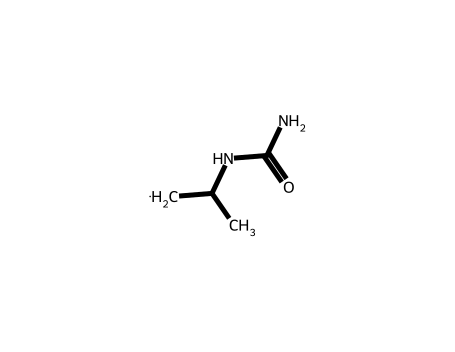 [CH2]C(C)NC(N)=O